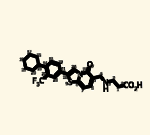 O=C(O)CCNCc1ccc2sc(-c3ccc(C4CCCCC4)c(C(F)(F)F)c3)cn2c1=O